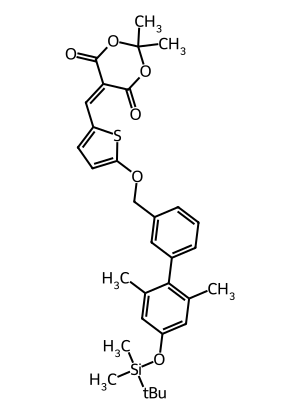 Cc1cc(O[Si](C)(C)C(C)(C)C)cc(C)c1-c1cccc(COc2ccc(C=C3C(=O)OC(C)(C)OC3=O)s2)c1